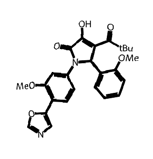 COc1cc(N2C(=O)C(O)=C(C(=O)C(C)(C)C)C2c2ccccc2OC)ccc1-c1cnco1